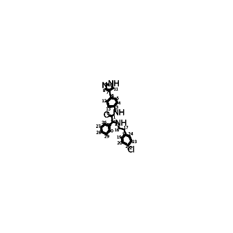 O=C(Nc1ccc(-c2cn[nH]c2)cc1)C(NCCc1ccc(Cl)cc1)c1ccccc1